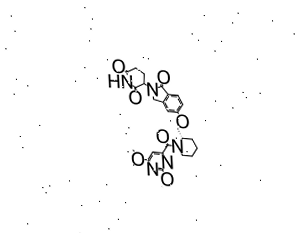 COc1cc(C(=O)N2CCCC[C@H]2COc2ccc3c(c2)CN(C2CCC(=O)NC2=O)C3=O)nc(OC)n1